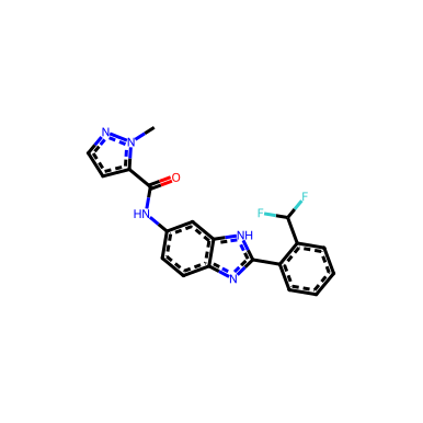 Cn1nccc1C(=O)Nc1ccc2nc(-c3ccccc3C(F)F)[nH]c2c1